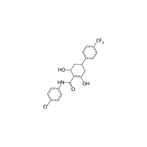 O=C(Nc1ccc(Cl)cc1)C1=C(O)CC(c2ccc(C(F)(F)F)cc2)CC1O